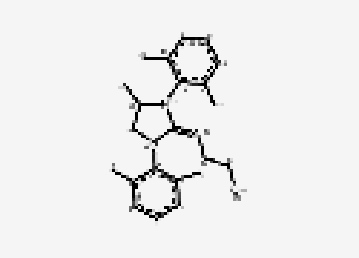 Cc1cccc(C)c1N1CC(C)N(c2c(C)cccc2C)C1=NCCO